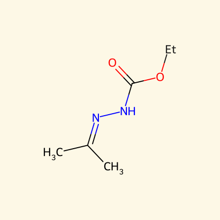 CCOC(=O)NN=C(C)C